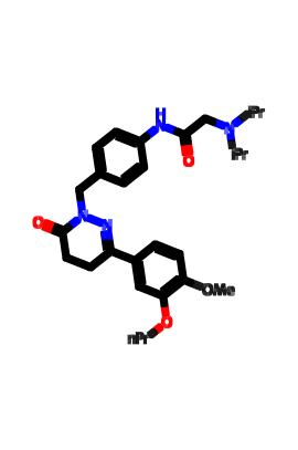 CCCOc1cc(C2=NN(Cc3ccc(NC(=O)CN(C(C)C)C(C)C)cc3)C(=O)CC2)ccc1OC